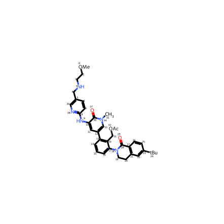 COCCNCc1ccc(Nc2cc(-c3cccc(N4CCc5cc(C(C)(C)C)ccc5C4=O)c3COC(C)=O)cn(C)c2=O)nc1